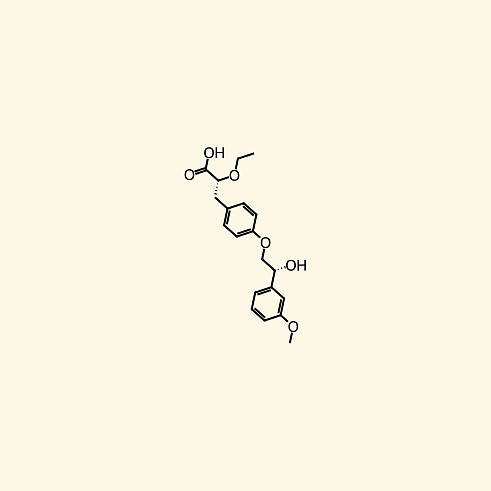 CCO[C@H](Cc1ccc(OC[C@H](O)c2cccc(OC)c2)cc1)C(=O)O